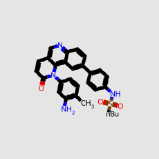 CCCCS(=O)(=O)Nc1ccc(-c2ccc3ncc4ccc(=O)n(-c5ccc(C)c(N)c5)c4c3c2)cc1